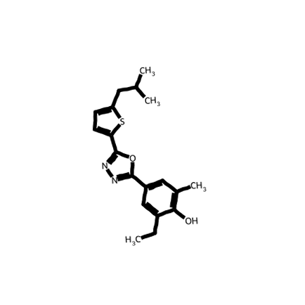 CCc1cc(-c2nnc(-c3ccc(CC(C)C)s3)o2)cc(C)c1O